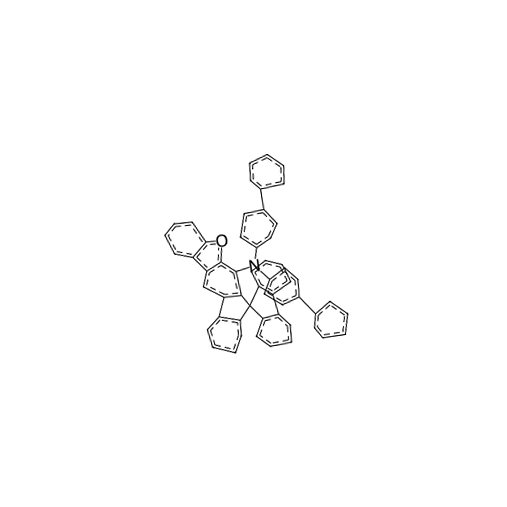 c1ccc(-c2ccc(N(c3ccc(-c4ccccc4)cc3)c3c4c(cc5c3oc3ccccc35)-c3ccccc3C43c4ccccc4-c4ccccc43)cc2)cc1